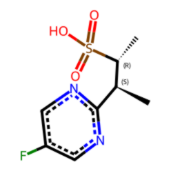 C[C@H]([C@@H](C)c1ncc(F)cn1)S(=O)(=O)O